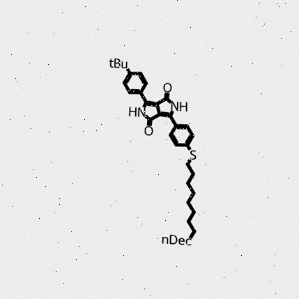 CCCCCCCCCCCCCCCCCCSc1ccc(C2=C3C(=O)NC(c4ccc(C(C)(C)C)cc4)=C3C(=O)N2)cc1